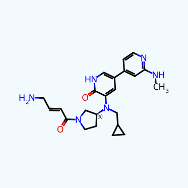 CNc1cc(-c2c[nH]c(=O)c(N(CC3CC3)[C@H]3CCN(C(=O)C=CCN)C3)c2)ccn1